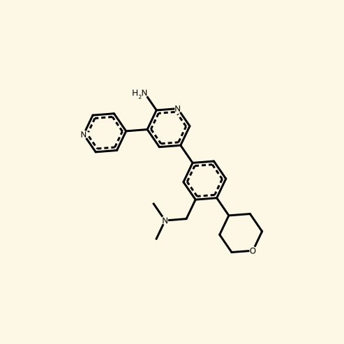 CN(C)Cc1cc(-c2cnc(N)c(-c3ccncc3)c2)ccc1C1CCOCC1